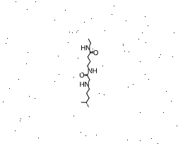 CCNC(=O)CCCNC(=O)CNCCCC(C)C